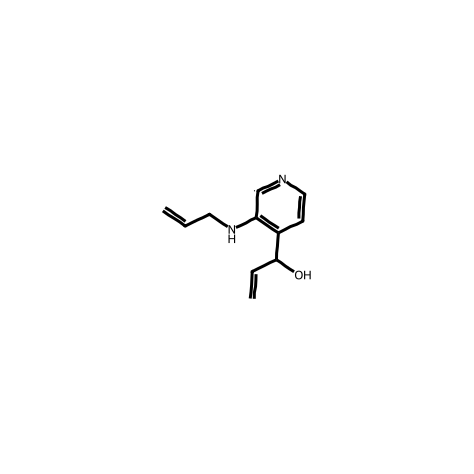 C=CCNc1[c]nccc1C(O)C=C